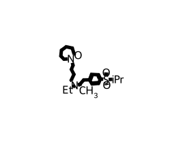 CCN(CCCCN1CCCCCC1=O)C(C)Cc1ccc(S(=O)(=O)C(C)C)cc1